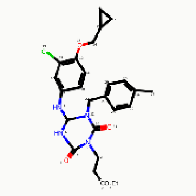 CCOC(=O)CCN1C(=O)NC(Nc2ccc(OCC3CC3)c(Cl)c2)N(Cc2ccc(C)cc2)C1=O